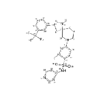 Cc1cc(N2CCC[C@](CCc3cccc(C(F)(F)F)c3)(N(C)C)C2)ccc1S(=O)(=O)Nc1ccncn1